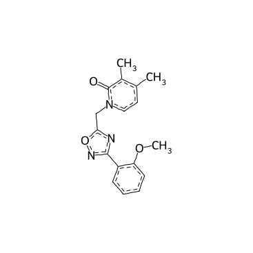 COc1ccccc1-c1noc(Cn2ccc(C)c(C)c2=O)n1